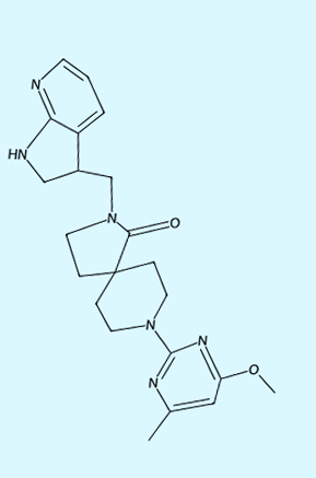 COc1cc(C)nc(N2CCC3(CCN(CC4CNc5ncccc54)C3=O)CC2)n1